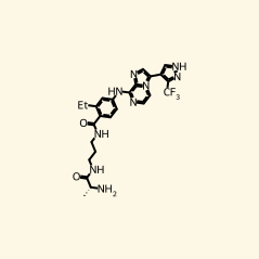 CCc1cc(Nc2nccn3c(-c4c[nH]nc4C(F)(F)F)cnc23)ccc1C(=O)NCCCNC(=O)[C@@H](C)N